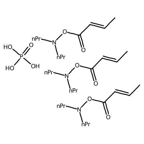 CC=CC(=O)ON(CCC)CCC.CC=CC(=O)ON(CCC)CCC.CC=CC(=O)ON(CCC)CCC.O=P(O)(O)O